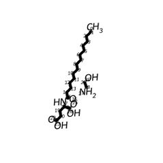 CCCCCCCCCCCCCCCC(=O)NC(CCC(=O)O)C(=O)O.NCCO